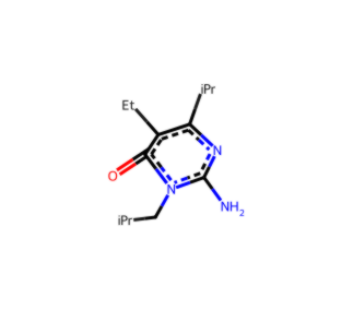 CCc1c(C(C)C)nc(N)n(CC(C)C)c1=O